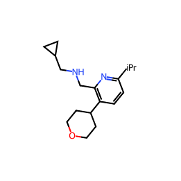 CC(C)c1ccc(C2CCOCC2)c(CNCC2CC2)n1